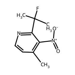 Cc1ccnc(C(C)(C)F)c1[N+](=O)[O-]